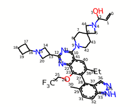 C=CC(O)N1CC2(CCN(c3nc(C4CN(C5CCC5)C4)nc4c(OCC(F)(F)F)c(-c5c(C)ccc6[nH]ncc56)c(CC)cc34)CC2)C1